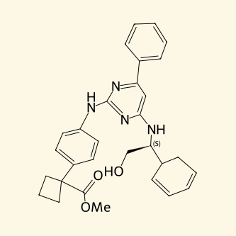 COC(=O)C1(c2ccc(Nc3nc(N[C@H](CO)C4C=CC=CC4)cc(-c4ccccc4)n3)cc2)CCC1